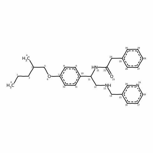 CCCC(C)COc1ccc(C(CNCc2cccnc2)NC(=O)Cc2ccccc2)cc1